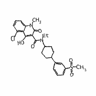 CCN(C(=O)c1c(O)c2c(Cl)cccc2n(C)c1=O)C1CCC(c2cccc(S(C)(=O)=O)c2)CC1